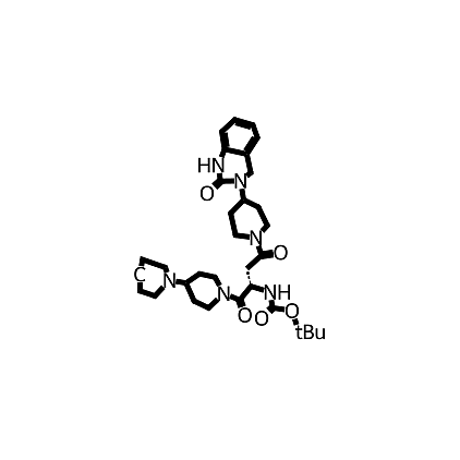 CC(C)(C)OC(=O)N[C@@H](CC(=O)N1CCC(N2Cc3ccccc3NC2=O)CC1)C(=O)N1CCC(N2CCCCC2)CC1